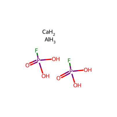 O=P(O)(O)F.O=P(O)(O)F.[AlH3].[CaH2]